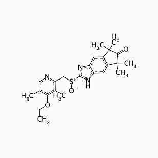 CCOc1c(C)cnc(C[S+]([O-])c2nc3cc4c(cc3[nH]2)C(C)(C)C(=O)C4(C)C)c1C